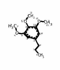 CC[CH]c1cc(OC)c(OC)c(OC)c1